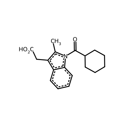 Cc1c(CC(=O)O)c2ccccc2n1C(=O)C1CCCCC1